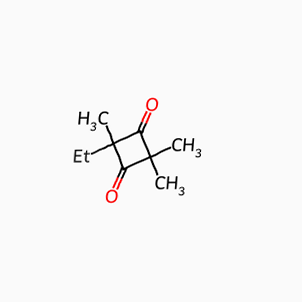 CCC1(C)C(=O)C(C)(C)C1=O